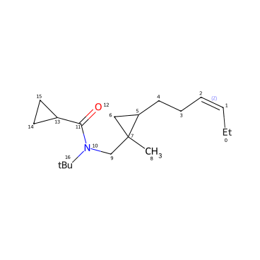 CC/C=C\CCC1CC1(C)CN(C(=O)C1CC1)C(C)(C)C